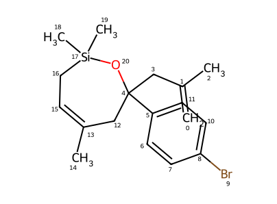 C=C(C)CC1(c2ccc(Br)cc2)CC(C)=CC[Si](C)(C)O1